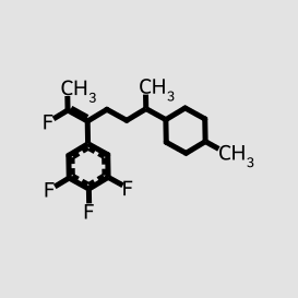 C/C(F)=C(\CCC(C)C1CCC(C)CC1)c1cc(F)c(F)c(F)c1